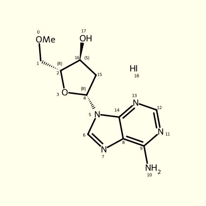 COC[C@H]1O[C@@H](n2cnc3c(N)ncnc32)C[C@@H]1O.I